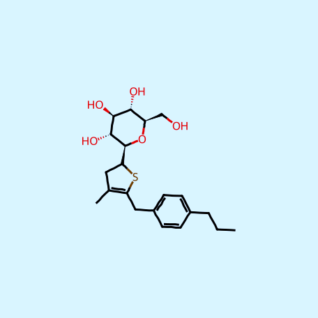 CCCc1ccc(CC2=C(C)CC([C@@H]3O[C@H](CO)[C@@H](O)[C@H](O)[C@H]3O)S2)cc1